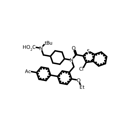 CCOc1ccc(-c2ccc(C(C)=O)cc2)cc1CN(C(=O)c1sc2ccccc2c1Cl)C1CCC(CN(C(=O)O)C(C)(C)C)CC1